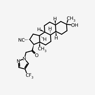 C[C@@]1(O)CC[C@H]2[C@H](CC[C@@H]3[C@@H]2CC[C@@]2(C)[C@H]3C[C@@H](C#N)[C@@H]2C(=O)Cn2cc(C(F)(F)F)cn2)C1